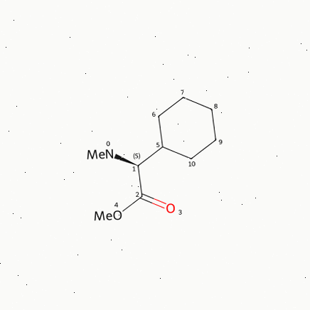 CN[C@H](C(=O)OC)C1CCCCC1